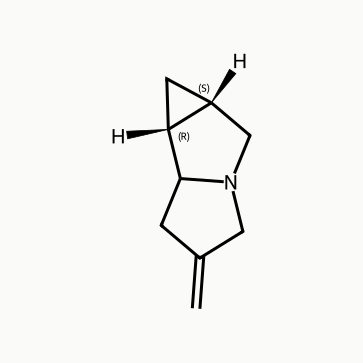 C=C1CC2[C@@H]3C[C@@H]3CN2C1